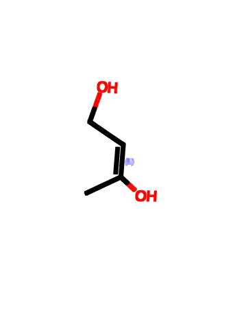 C/C(O)=C\CO